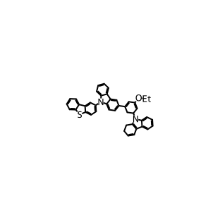 CCOC1=CC(n2c3c(c4ccccc42)C=CCC3)CC(c2ccc3c(c2)c2ccccc2n3-c2ccc3sc4ccccc4c3c2)=C1